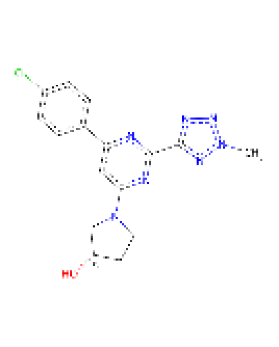 Cn1nnc(-c2nc(-c3ccc(Cl)cc3)cc(N3CC[C@H](O)C3)n2)n1